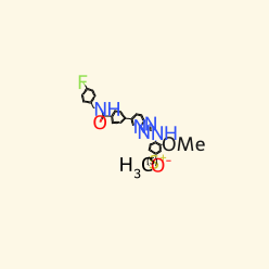 COc1cc([S@@+](C)[O-])ccc1Nc1nc2ccc(-c3ccc(C(=O)NCc4ccc(F)cc4)cc3)cn2n1